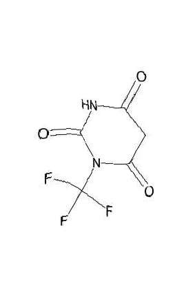 O=C1CC(=O)N(C(F)(F)F)C(=O)N1